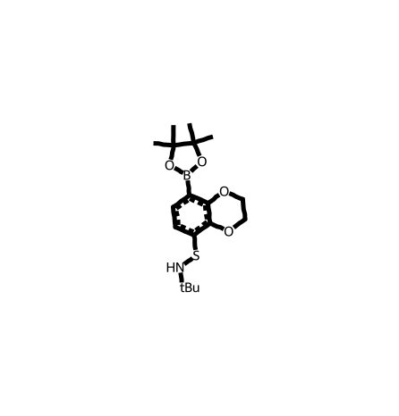 CC(C)(C)NSc1ccc(B2OC(C)(C)C(C)(C)O2)c2c1OCCO2